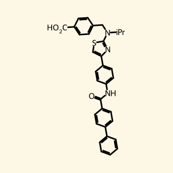 CC(C)N(Cc1ccc(C(=O)O)cc1)c1nc(-c2ccc(NC(=O)c3ccc(-c4ccccc4)cc3)cc2)cs1